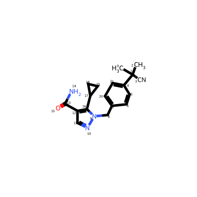 CC(C)(C#N)c1ccc(Cn2ncc(C(N)=O)c2C2CC2)cc1